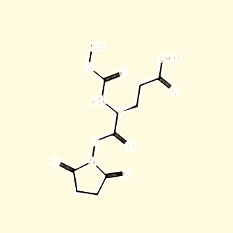 CC(C)COC(=O)CC[C@H](NC(=O)OC(C)(C)C)C(=O)ON1C(=O)CCC1=O